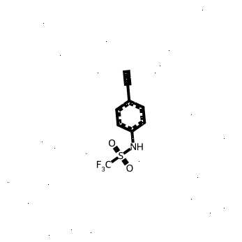 [C]#Cc1ccc(NS(=O)(=O)C(F)(F)F)cc1